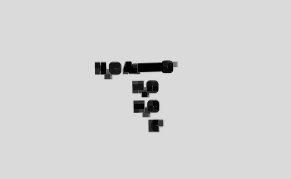 CC(=O)[O-].O.O.O.[K+]